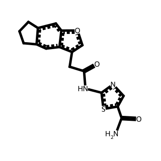 NC(=O)c1cnc(NC(=O)Cc2coc3cc4c(cc23)CCC4)s1